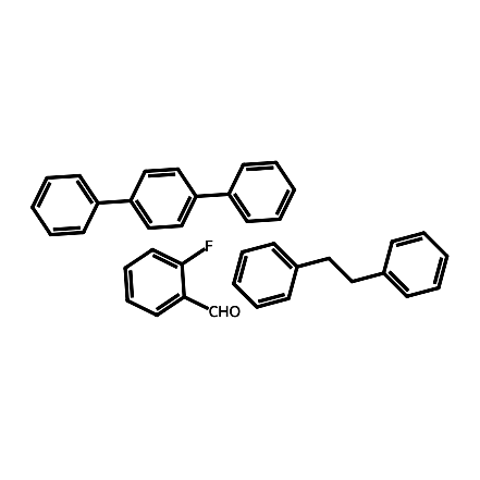 O=Cc1ccccc1F.c1ccc(-c2ccc(-c3ccccc3)cc2)cc1.c1ccc(CCc2ccccc2)cc1